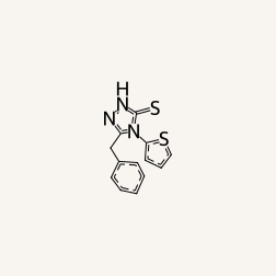 S=c1[nH]nc(Cc2ccccc2)n1-c1cccs1